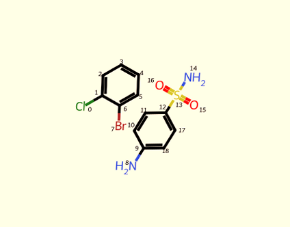 Clc1ccccc1Br.Nc1ccc(S(N)(=O)=O)cc1